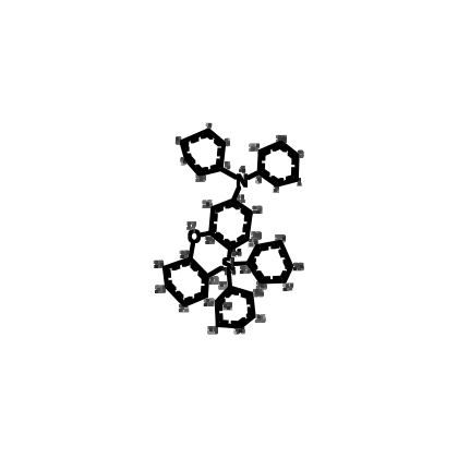 c1ccc(N(c2ccccc2)c2ccc3c(c2)Oc2ccccc2[Si]3(c2ccccc2)c2ccccc2)cc1